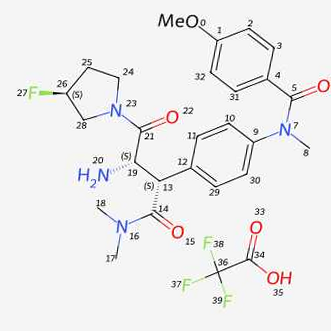 COc1ccc(C(=O)N(C)c2ccc([C@H](C(=O)N(C)C)[C@H](N)C(=O)N3CC[C@H](F)C3)cc2)cc1.O=C(O)C(F)(F)F